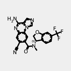 CN(C(=O)c1cc2c(cc1C#N)nc(N)c1cncn12)[C@@H]1COc2cc(C(F)(F)F)ccc21